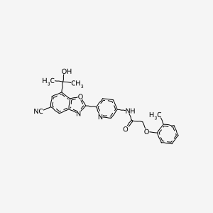 Cc1ccccc1OCC(=O)Nc1ccc(-c2nc3cc(C#N)cc(C(C)(C)O)c3o2)nc1